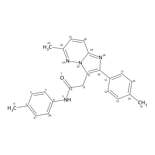 Cc1ccc(NC(=O)Cc2c(-c3ccc(C)cc3)nc3ccc(C)nn23)cc1